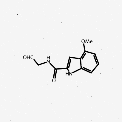 COc1cccc2[nH]c(C(=O)NCC=O)cc12